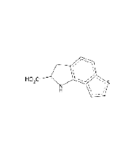 O=C(O)C1Cc2ccc3sccc3c2N1